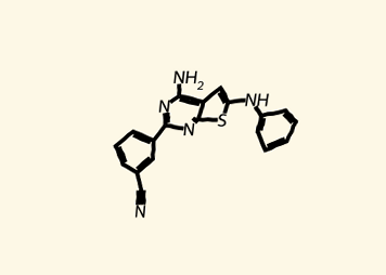 N#Cc1cccc(-c2nc(N)c3cc(Nc4ccccc4)sc3n2)c1